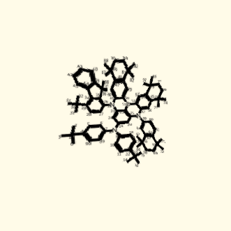 CC(C)(C)c1ccc(N(c2ccc(C(C)(C)C)cc2)c2cc3c4c(c2)N(c2ccc(C(C)(C)C)c5c2C(C)(C)c2ccccc2-5)c2cc5c(cc2B4c2cc4c(cc2N3c2ccc3c(c2)C(C)(C)CCC3(C)C)C(C)(C)CCC4(C)C)C(C)(C)CCC5(C)C)cc1